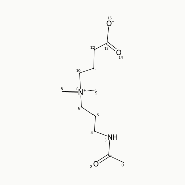 CC(=O)NCCC[N+](C)(C)CCCC(=O)[O-]